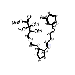 COC(=O)C(O)(O)C(O)C=C=CC[C@H]1CCC[C@@H]1/C=C/CCOc1cccc(F)c1